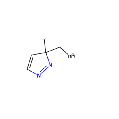 [CH2]C1(CCCC)C=CN=N1